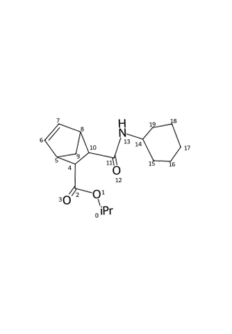 CC(C)OC(=O)C1C2C=CC(C2)C1C(=O)NC1CCCCC1